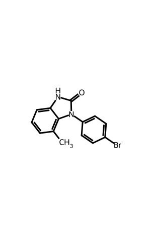 Cc1cccc2[nH]c(=O)n(-c3ccc(Br)cc3)c12